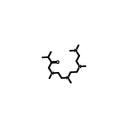 CC(C)C(=O)CN(C)CCN(C)CCN(C)CCN(C)C